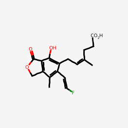 CC(=CCc1c(O)c2c(c(C)c1C=CF)COC2=O)CCC(=O)O